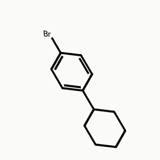 Brc1ccc([C]2CCCCC2)cc1